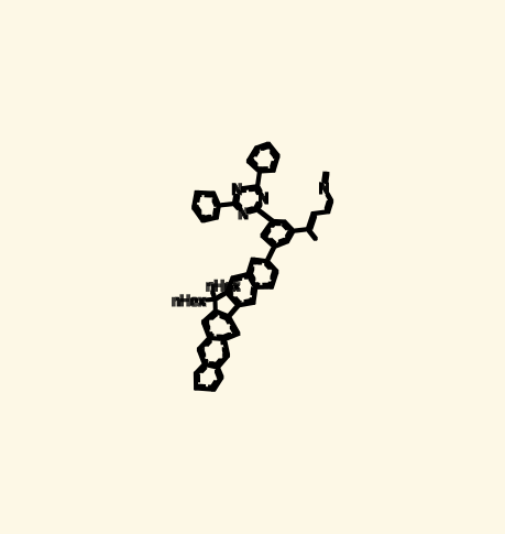 C=N/C=C\C=C(/C)c1cc(-c2ccc3cc4c(cc3c2)C(CCCCCC)(CCCCCC)c2cc3cc5ccccc5cc3cc2-4)cc(-c2nc(-c3ccccc3)nc(-c3ccccc3)n2)c1